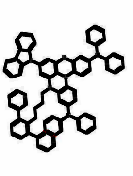 c1ccc(-c2cccc(-c3ccccc3)c2CCCCN2c3cc(N(c4ccccc4)c4ccccc4)ccc3B3c4ccc(N(c5ccccc5)c5ccccc5)cc4Oc4cc(-n5c6ccccc6c6ccccc65)cc2c43)cc1